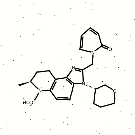 C[C@H]1CCc2c(ccc3c2nc(Cn2ccccc2=O)n3[C@H]2CCCOC2)N1C(=O)O